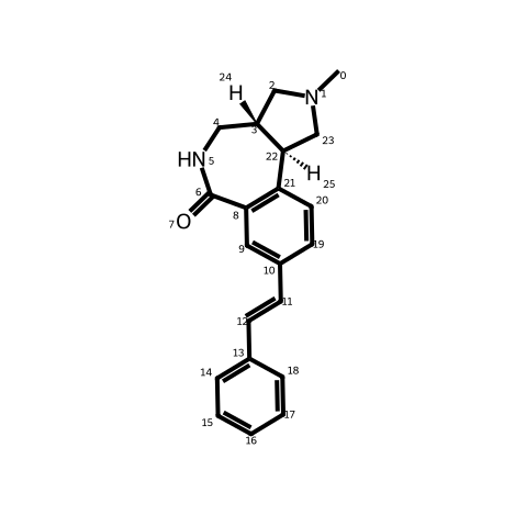 CN1C[C@H]2CNC(=O)c3cc(C=Cc4ccccc4)ccc3[C@@H]2C1